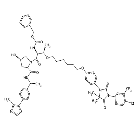 Cc1ncsc1-c1ccc([C@H](C)NC(=O)[C@@H]2C[C@@H](O)CN2C(=O)[C@@H](NC(=O)OCc2ccccc2)[C@@H](C)OCCCCCCOc2ccc(N3C(=S)N(c4ccc(C#N)c(C(F)(F)F)c4)C(=O)C3(C)C)cc2)cc1